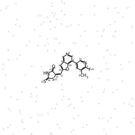 Cc1cc(-c2cncc3cc(C=C4SC(=S)NC4=O)oc23)cnc1F